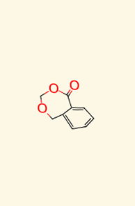 O=C1OCOCc2ccccc21